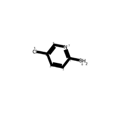 Bc1ccc(Cl)cn1